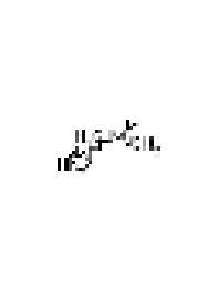 C=N/C(=N\C=C(/C)CCN1CCNC1=O)C1CC1